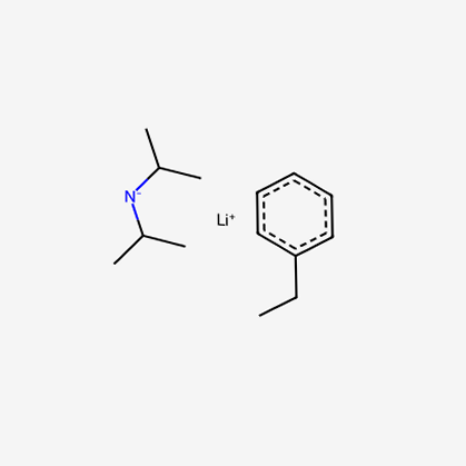 CC(C)[N-]C(C)C.CCc1ccccc1.[Li+]